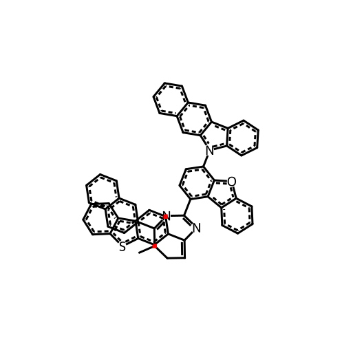 CC1C/C=C(c2ccc3c(c2)sc2ccccc23)/N=C(c2ccc(-n3c4ccccc4c4cc5ccccc5cc43)c3oc4ccccc4c23)\N=C/1c1ccc2ccccc2c1